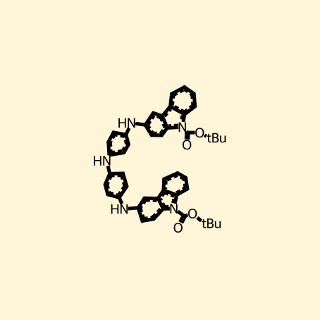 CC(C)(C)OC(=O)n1c2ccccc2c2cc(Nc3ccc(Nc4ccc(Nc5ccc6c(c5)c5ccccc5n6C(=O)OC(C)(C)C)cc4)cc3)ccc21